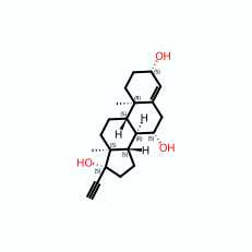 C#C[C@]1(O)CC[C@H]2[C@@H]3[C@@H](O)CC4=C[C@@H](O)CC[C@]4(C)[C@H]3CC[C@@]21C